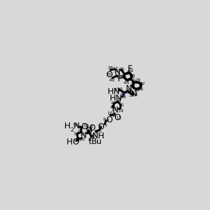 CC(C)(C)C(NC(=O)COCCOCC(=O)N1CCC(N/C=C(\C=N)c2cnc3cccc(-c4cc(F)c(CN5CCOCC5)c(F)c4)c3n2)CC1)C(=O)N1CC(O)CC1C(N)=O